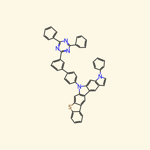 c1ccc(-c2nc(-c3ccccc3)nc(-c3cccc(-c4ccc(-n5c6cc7sc8ccccc8c7cc6c6cc7ccn(-c8ccccc8)c7cc65)cc4)c3)n2)cc1